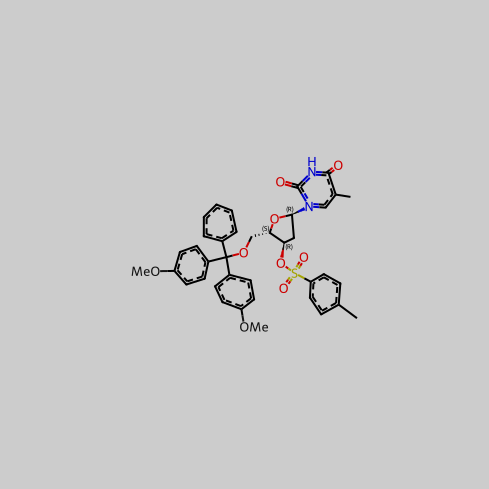 COc1ccc(C(OC[C@@H]2O[C@@H](n3cc(C)c(=O)[nH]c3=O)C[C@H]2OS(=O)(=O)c2ccc(C)cc2)(c2ccccc2)c2ccc(OC)cc2)cc1